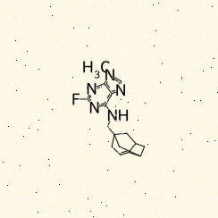 Cn1cnc2c(NCC34CC=C5C(CC5C3)C4)nc(F)nc21